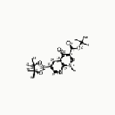 Cn1cc(C(=O)OC(C)(C)C)c(=O)c2cc(B3OC(C)(C)C(C)(C)O3)cnc21